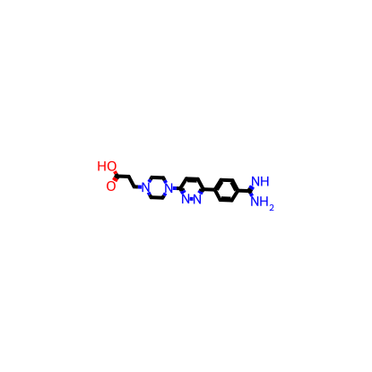 N=C(N)c1ccc(-c2ccc(N3CCN(CCC(=O)O)CC3)nn2)cc1